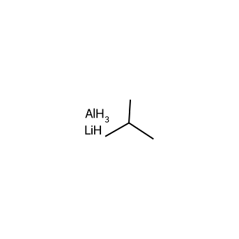 CC(C)C.[AlH3].[LiH]